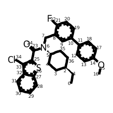 CC[C@H]1CC[C@H](N(Cc2cc(-c3ccc(OC)cc3)ccc2F)C(=O)c2sc3ccccc3c2Cl)CC1